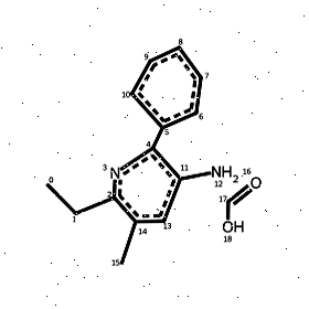 CCc1nc(-c2ccccc2)c(N)cc1C.O=CO